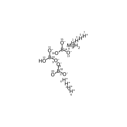 [H+].[H+].[H+].[H+].[H+].[H+].[H+].[H+].[MgH2].[O-]B([O-])O.[O-]B([O-])[O-].[O-]B([O-])[O-]